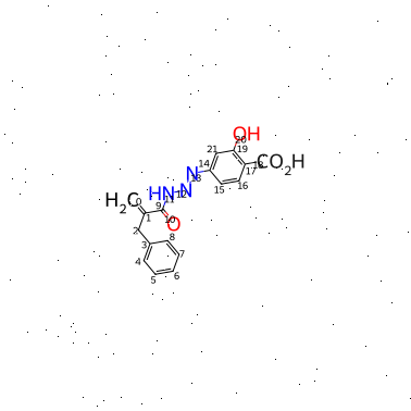 C=C(Cc1ccccc1)C(=O)NN=Nc1ccc(C(=O)O)c(O)c1